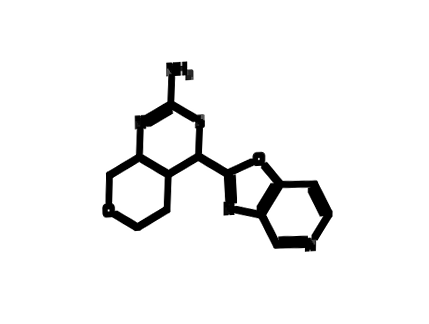 NC1=NC2COCCC2C(c2nc3cnccc3o2)S1